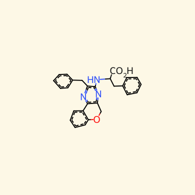 O=C(O)C(Cc1ccccc1)Nc1nc2c(nc1Cc1ccccc1)-c1ccccc1OC2